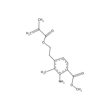 C=C(C)C(=O)OCCc1ccc(C(=O)OC)c(N)c1C